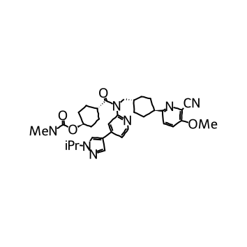 CNC(=O)O[C@H]1CC[C@H](C(=O)N(C[C@H]2CC[C@H](c3ccc(OC)c(C#N)n3)CC2)c2cc(-c3cnn(C(C)C)c3)ccn2)CC1